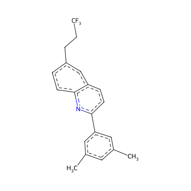 Cc1cc(C)cc(-c2ccc3cc(CCC(F)(F)F)ccc3n2)c1